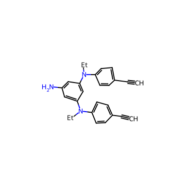 C#Cc1ccc(N(CC)c2cc(N)cc(N(CC)c3ccc(C#C)cc3)c2)cc1